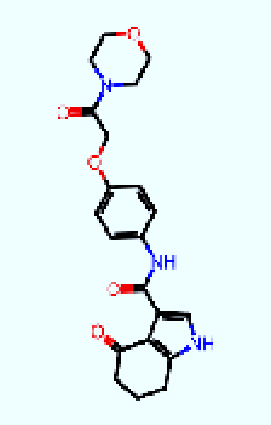 O=C(Nc1ccc(OCC(=O)N2CCOCC2)cc1)c1c[nH]c2c1C(=O)CCC2